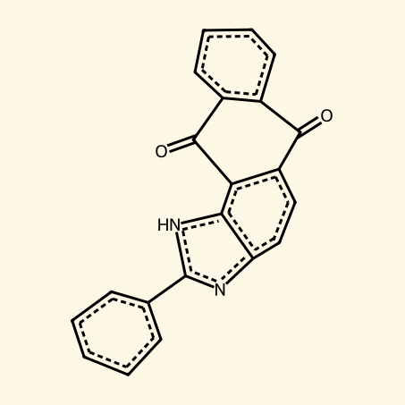 O=C1c2ccccc2C(=O)c2c1ccc1nc(-c3ccccc3)[nH]c21